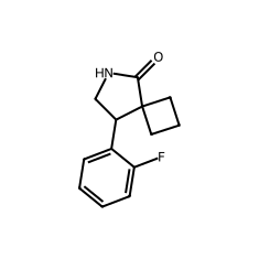 O=C1NCC(c2ccccc2F)C12CCC2